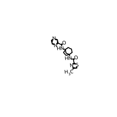 Cc1csc(C(=O)NC23CCCC(NC(=O)c4cnccn4)(CC2)C3)n1